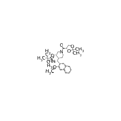 COc1cc2ccccc2cc1[C@H](N[S@@+]([O-])C(C)(C)C)C1CCN(C(=O)[C@H]2COC(C)(C)O2)CC1